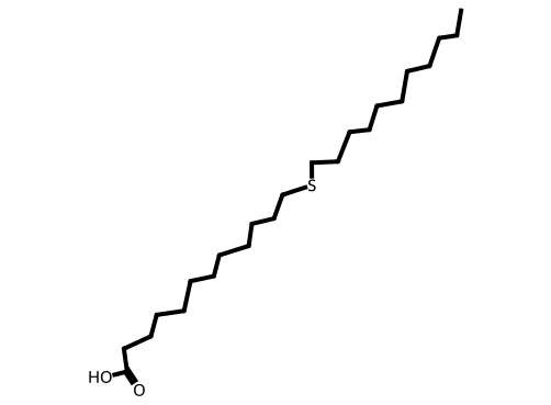 CCCCCCCCCCCSCCCCCCCCCCCC(=O)O